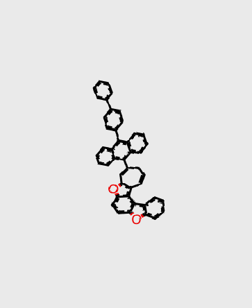 C1=Cc2c(oc3ccc4oc5ccccc5c4c23)C=C(c2c3ccccc3c(-c3ccc(-c4ccccc4)cc3)c3ccccc23)C1